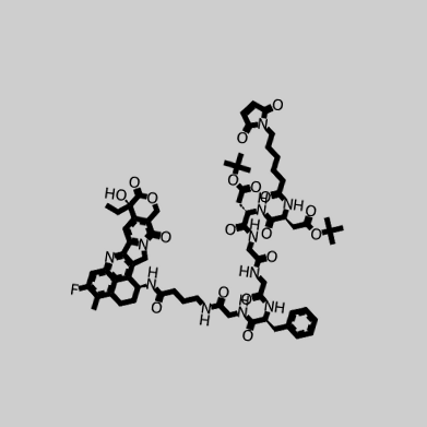 CC[C@@]1(O)C(=O)OCc2c1cc1n(c2=O)Cc2c-1nc1cc(F)c(C)c3c1c2[C@@H](NC(=O)CCCNC(=O)CNC(=O)[C@H](Cc1ccccc1)NC(=O)CNC(=O)CNC(=O)[C@H](CC(=O)OC(C)(C)C)NC(=O)[C@H](CC(=O)OC(C)(C)C)NC(=O)CCCCCN1C(=O)C=CC1=O)CC3